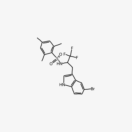 Cc1cc(C)c(S(=O)(=O)NC(Cc2c[nH]c3ccc(Br)cc23)C(F)(F)F)c(C)c1